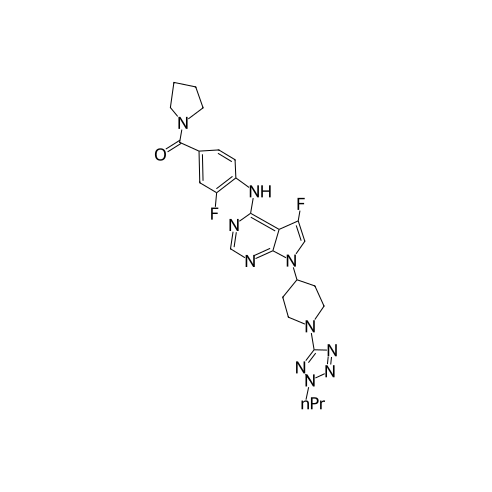 CCCn1nnc(N2CCC(n3cc(F)c4c(Nc5ccc(C(=O)N6CCCC6)cc5F)ncnc43)CC2)n1